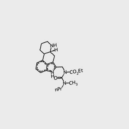 CCCN(C)C(=O)N(Cc1[nH]c2cccc3c2c1C[C@H]1NCCCC31)C(=O)OCC